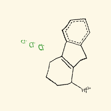 [Cl-].[Cl-].[Cl-].[Hf+3][CH]1CCCC2=C1Cc1ccccc12